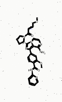 COC/C=C/C(=O)N1CCC[C@H]1c1nc(-c2ccc(C(=O)Nc3ccccn3)c(OC)c2)c2c(N)nccn12